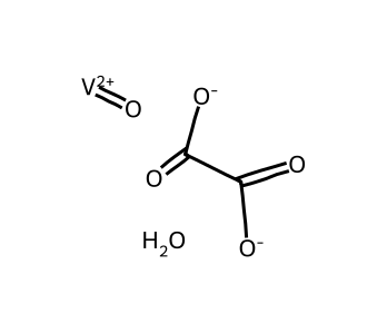 O.O=C([O-])C(=O)[O-].[O]=[V+2]